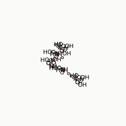 CN1CC[C@]23c4c5ccc(O)c4O[C@H]2[C@@H](O)C=C[C@H]3[C@H]1C5.Oc1ccc2c(c1)[C@@]13CCCC[C@@]1(O)[C@@H](C2)N(CC1CCC1)CC3.Oc1ccc2c(c1)[C@@]13CCCC[C@@]1(O)[C@@H](C2)N(CC1CCC1)CC3.Oc1ccc2c3c1O[C@H]1[C@@H](O)CC[C@@]4(O)[C@@H](C2)N(CC2CCC2)CC[C@]314.Oc1ccc2c3c1O[C@H]1[C@@H](O)CC[C@@]4(O)[C@@H](C2)N(CC2CCC2)CC[C@]314